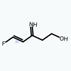 N=C(/C=C/F)CCO